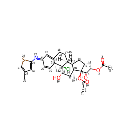 CCC(=O)OCC(=O)[C@@]1(OC(=O)CC)[C@@H](C)C[C@H]2[C@@H]3CCC4=C/C(=N/c5cc(C)cs5)C=C[C@]4(C)[C@@]3(Cl)[C@@H](O)C[C@@]21C